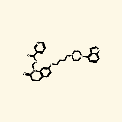 O=C(OCN1C(=O)CCc2ccc(OCCCCN3CCN(c4cccc5sccc45)CC3)cc21)c1cccnc1